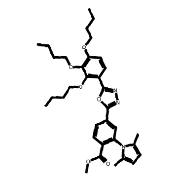 CCCCOc1ccc(-c2nnc(-c3ccc(C(=O)OC)c(-n4c(C)ccc4C)c3)o2)c(OCCCC)c1OCCCC